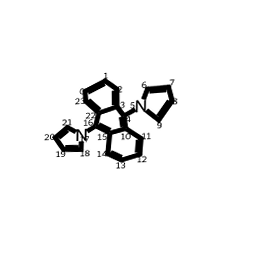 c1ccc2c(-n3cccc3)c3ccccc3c(-n3cccc3)c2c1